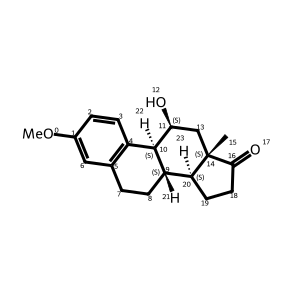 COc1ccc2c(c1)CC[C@@H]1[C@@H]2[C@@H](O)C[C@]2(C)C(=O)CC[C@@H]12